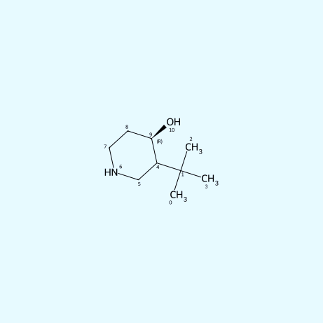 CC(C)(C)C1CNCC[C@H]1O